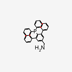 NCc1cc(-c2ccccc2)c(P(c2ccccc2)c2ccccc2)c(-c2ccccc2)c1